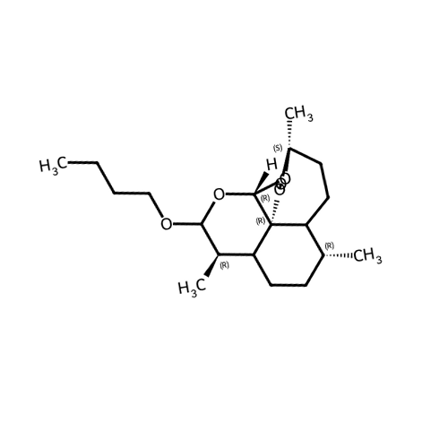 CCCCOC1O[C@@H]2O[C@]3(C)CCC4[C@H](C)CCC([C@H]1C)[C@]42OO3